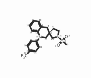 CS(=O)(=O)N1CC[C@@]2(Cc3ccccc3N(c3ccc(C(F)(F)F)cc3)C2)C1